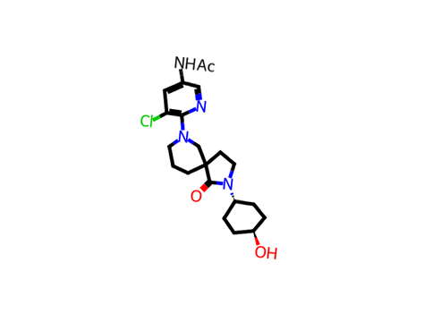 CC(=O)Nc1cnc(N2CCCC3(CCN([C@H]4CC[C@H](O)CC4)C3=O)C2)c(Cl)c1